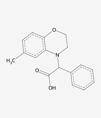 Cc1ccc2c(c1)N(C(C(=O)O)c1ccccc1)CCO2